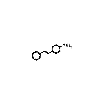 [AsH2]c1ccc(C=Cc2ccccc2)cc1